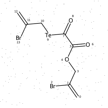 C=C(Br)COC(=O)C(=O)[Te]CC(=C)Br